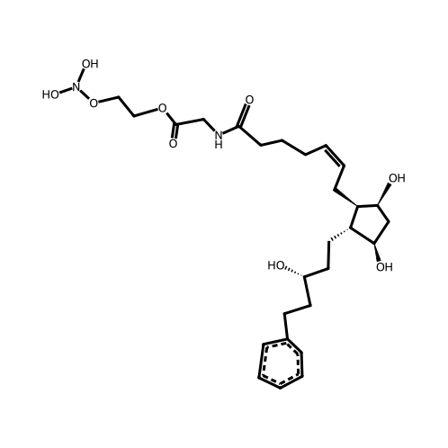 O=C(CCC/C=C\C[C@@H]1[C@@H](CC[C@@H](O)CCc2ccccc2)[C@H](O)C[C@@H]1O)NCC(=O)OCCON(O)O